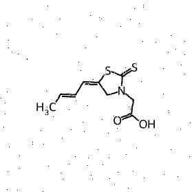 CC=C/C=C1\CN(CC(=O)O)C(=S)S1